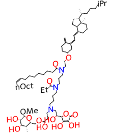 C=C1CCC(OCCN(CCCN(CCCCN(CCC(O)OCC2OC(OC)[C@@H](O)[C@@H](O)[C@H]2C)C[C@H](O)[C@H]2OC(=O)C(O)=C2O)C(=O)CC)C(=O)CCCCCCC/C=C\CCCCCCCC)C/C1=C/C=C1\CCC[C@@]2(C)C1CC[C@@H]2[C@H](C)CCCC(C)C